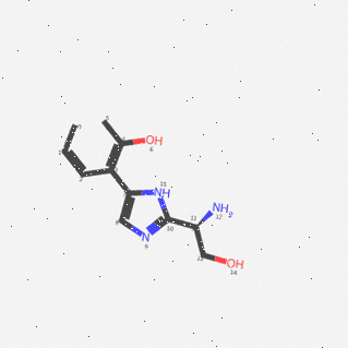 C/C=C\C(=C(/C)O)c1cnc([C@@H](N)CO)[nH]1